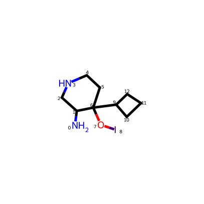 NC1CNCCC1(OI)C1CCC1